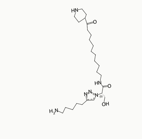 NCCCCCc1cn([C@@H](CO)C(=O)NCCCCCCCCCCC(=O)C2CCNCC2)nn1